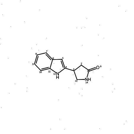 O=C1CC(c2cc3ccccc3[nH]2)CN1